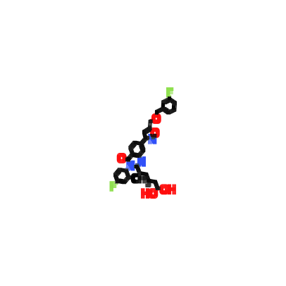 CC1C=C(F)C=CC1n1c(CCCCC(O)O)nc2cc(-c3cc(COCc4cccc(F)c4)on3)ccc2c1=O